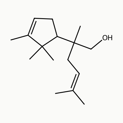 CC(C)=CCC(C)(CO)C1CC=C(C)C1(C)C